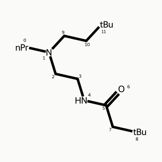 CCCN(CCNC(=O)CC(C)(C)C)CCC(C)(C)C